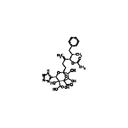 C=C(CCC12OC(c3nnn[nH]3)C(O)(C(=O)O)C(C(=O)O)(O1)C(O)C2O)C(OC(C)=O)C(C)Cc1ccccc1